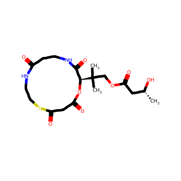 C[C@@H](O)CC(=O)OCC(C)(C)[C@H]1OC(=O)CC(=O)SCCNC(=O)CCNC1=O